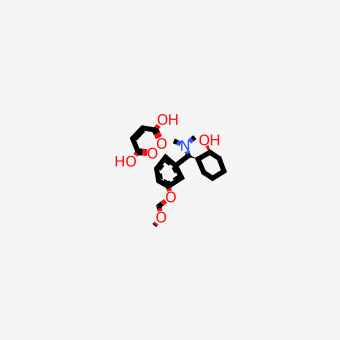 COCOc1cccc(C([C@H]2CCCC[C@@H]2O)N(C)C)c1.O=C(O)/C=C\C(=O)O